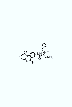 CCN(CC1CCC1)[C@H](CN)C(=O)Nc1ccc(N2CCOCC2=O)c(C(F)F)c1